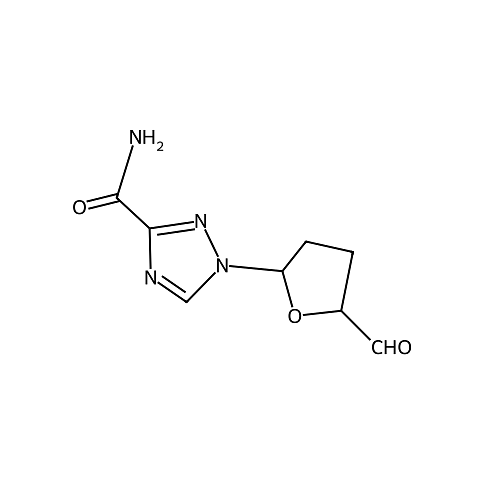 NC(=O)c1ncn(C2CCC(C=O)O2)n1